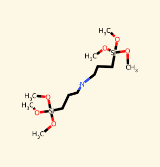 CO[Si](CCC[N]CCC[Si](OC)(OC)OC)(OC)OC